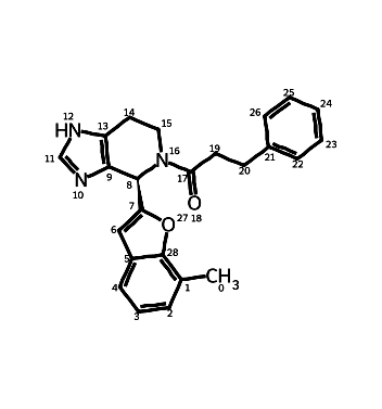 Cc1cccc2cc([C@H]3c4nc[nH]c4CCN3C(=O)CCc3ccccc3)oc12